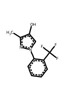 Cc1nn(-c2ccccc2C(F)(F)F)cc1O